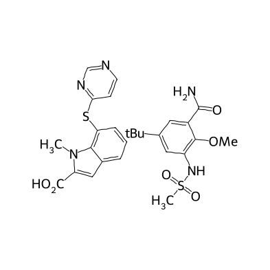 COc1c(NS(C)(=O)=O)cc(C(C)(C)C)cc1C(N)=O.Cn1c(C(=O)O)cc2cccc(Sc3ccncn3)c21